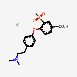 CN(C)CCc1ccc(Oc2ccc(C(=O)O)cc2S(C)(=O)=O)cc1.Cl